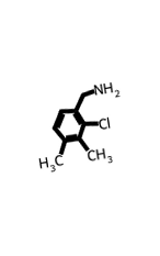 Cc1ccc(CN)c(Cl)c1C